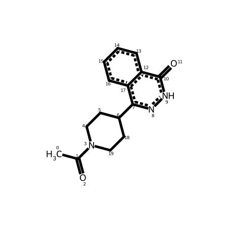 CC(=O)N1CCC(c2n[nH]c(=O)c3ccccc23)CC1